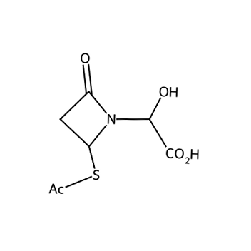 CC(=O)SC1CC(=O)N1C(O)C(=O)O